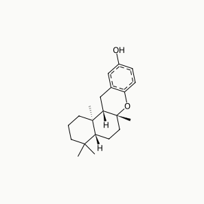 CC1(C)CCC[C@]2(C)[C@@H]1CC[C@@]1(C)Oc3ccc(O)cc3C[C@@H]21